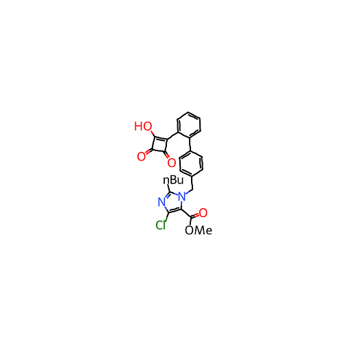 CCCCc1nc(Cl)c(C(=O)OC)n1Cc1ccc(-c2ccccc2-c2c(O)c(=O)c2=O)cc1